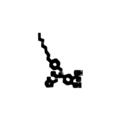 CCCCCCCCc1ccc(CN(C(=O)Cc2cccs2)c2ccc(O)c(C(=O)O)c2)cc1